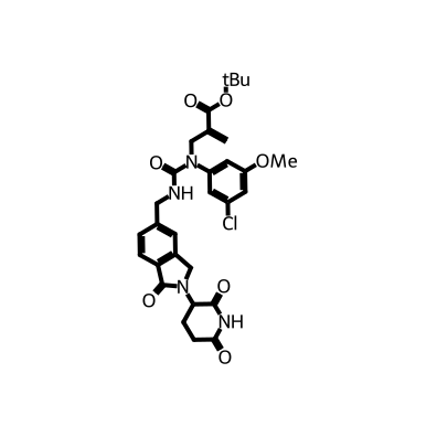 C=C(CN(C(=O)NCc1ccc2c(c1)CN(C1CCC(=O)NC1=O)C2=O)c1cc(Cl)cc(OC)c1)C(=O)OC(C)(C)C